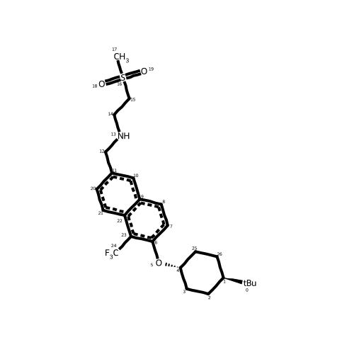 CC(C)(C)[C@H]1CC[C@H](Oc2ccc3cc(CNCCS(C)(=O)=O)ccc3c2C(F)(F)F)CC1